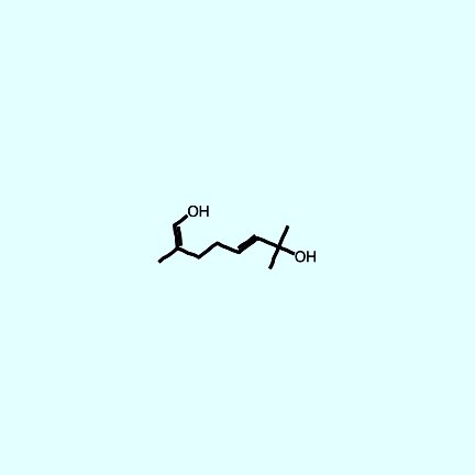 CC(=CO)CCC=CC(C)(C)O